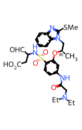 CCN(CC)CC(=O)Nc1ccc(S(=O)(=O)NC(C=O)CC(=O)O)c(O[C@H](C)Cn2c(SC)nc3ccccc32)c1